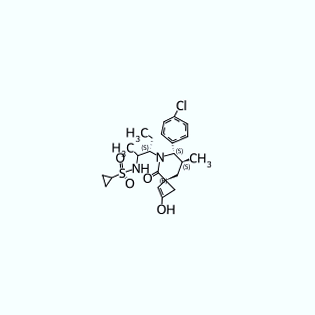 CC[C@@H](C(C)NS(=O)(=O)C1CC1)N1C(=O)[C@]2(C=C(O)C2)C[C@H](C)[C@H]1c1ccc(Cl)cc1